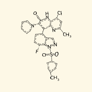 Cc1ccc(S(=O)(=O)n2ncc3c(-c4c(-[n+]5ccccc5)c(=O)[nH]c5c(Cl)cc(C)nc45)ccc(F)c32)cc1